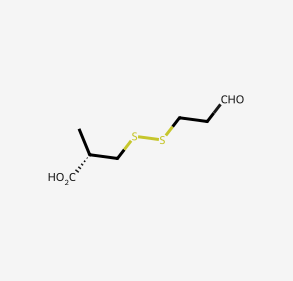 C[C@H](CSSCCC=O)C(=O)O